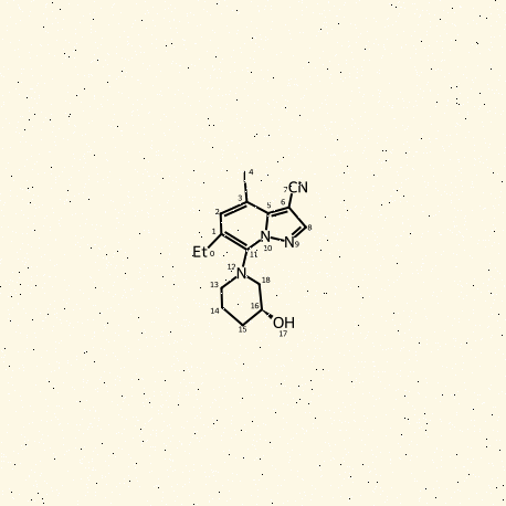 CCc1cc(I)c2c(C#N)cnn2c1N1CCC[C@H](O)C1